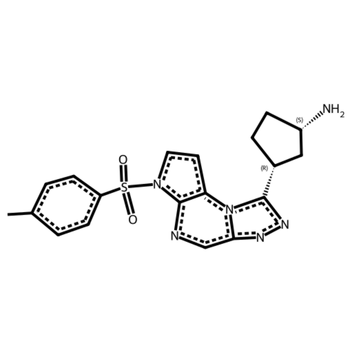 Cc1ccc(S(=O)(=O)n2ccc3c2ncc2nnc([C@@H]4CC[C@H](N)C4)n23)cc1